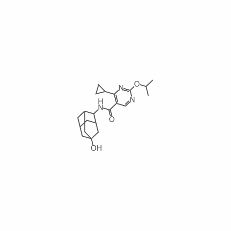 CC(C)Oc1ncc(C(=O)NC2C3CC4CC2CC(O)(C4)C3)c(C2CC2)n1